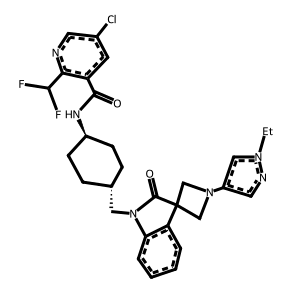 CCn1cc(N2CC3(C2)C(=O)N(C[C@H]2CC[C@H](NC(=O)c4cc(Cl)cnc4C(F)F)CC2)c2ccccc23)cn1